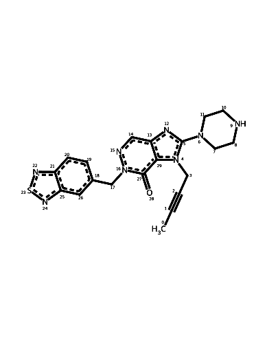 CC#CCn1c(N2CCNCC2)nc2cnn(Cc3ccc4nsnc4c3)c(=O)c21